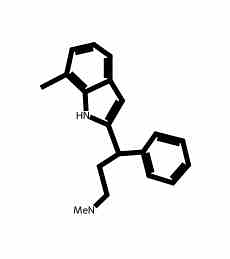 CNCCC(c1ccccc1)c1cc2cccc(C)c2[nH]1